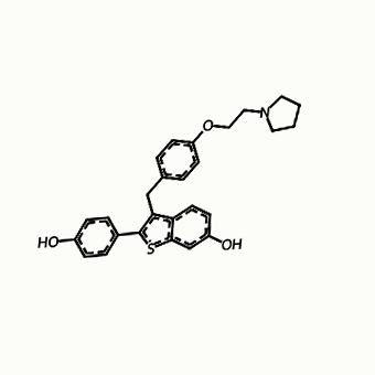 Oc1ccc(-c2sc3cc(O)ccc3c2Cc2ccc(OCCN3CCCC3)cc2)cc1